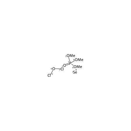 COP(=O)(OC)OC.ClOCl.[Se]